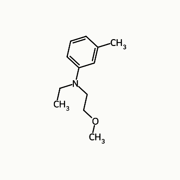 CCN(CCOC)c1cccc(C)c1